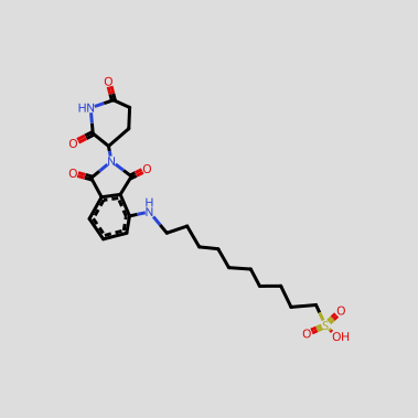 O=C1CCC(N2C(=O)c3cccc(NCCCCCCCCCCS(=O)(=O)O)c3C2=O)C(=O)N1